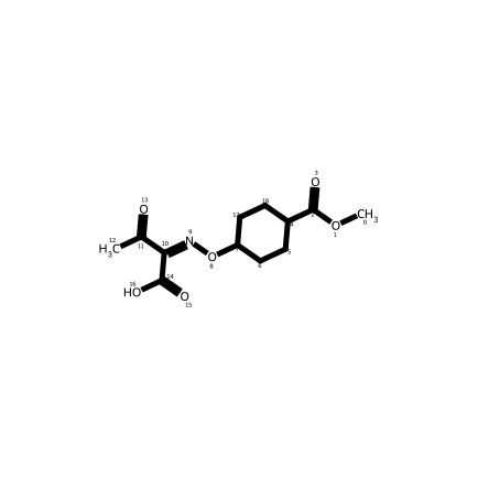 COC(=O)C1CCC(ON=C(C(C)=O)C(=O)O)CC1